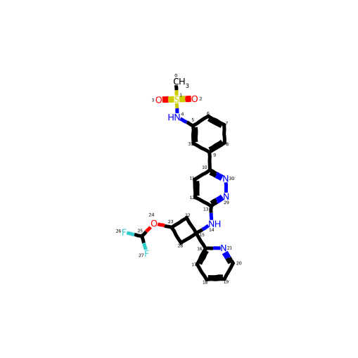 CS(=O)(=O)Nc1cccc(-c2ccc(NC3(c4ccccn4)CC(OC(F)F)C3)nn2)c1